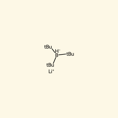 CC(C)(C)[BH-](C(C)(C)C)C(C)(C)C.[Li+]